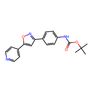 CC(C)(C)OC(=O)Nc1ccc(-c2cc(-c3ccncc3)on2)cc1